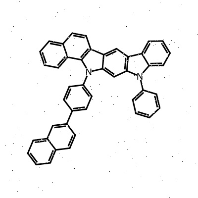 c1ccc(-n2c3ccccc3c3cc4c5ccc6ccccc6c5n(-c5ccc(-c6ccc7ccccc7c6)cc5)c4cc32)cc1